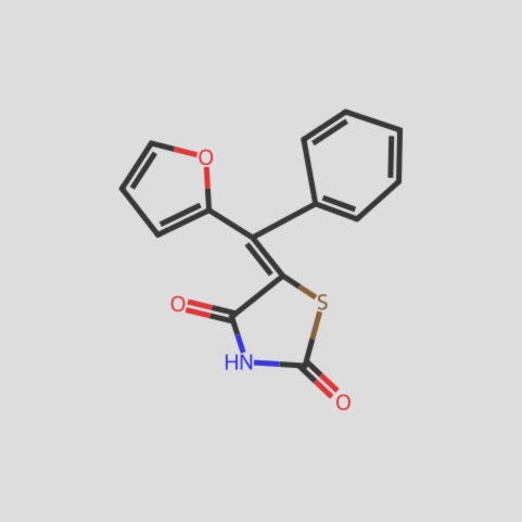 O=C1NC(=O)/C(=C(/c2ccccc2)c2ccco2)S1